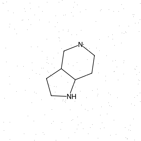 C1CC2NCCC2C[N]1